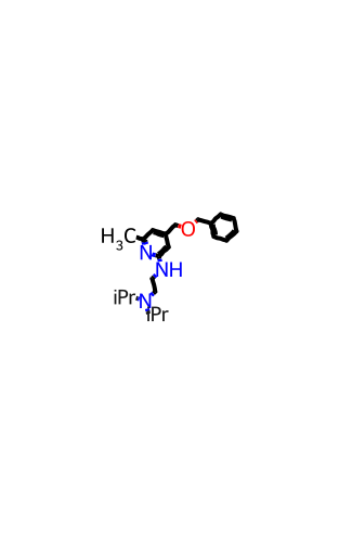 Cc1cc(COCc2ccccc2)cc(NCCN(C(C)C)C(C)C)n1